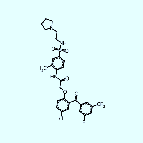 Cc1cc(S(=O)(=O)NCCN2CCCC2)ccc1NC(=O)COc1ccc(Cl)cc1C(=O)c1cc(F)cc(C(F)(F)F)c1